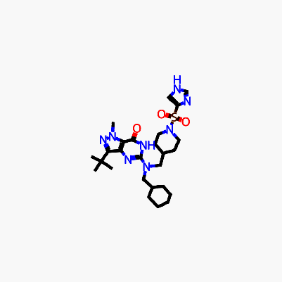 Cn1nc(C(C)(C)C)c2nc(N(CC3CCCCC3)CC3CCN(S(=O)(=O)c4c[nH]cn4)CC3)[nH]c(=O)c21